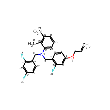 C=CCOc1ccc(CN(Cc2ccc(F)cc2F)c2cccc([N+](=O)[O-])c2C)c(F)c1